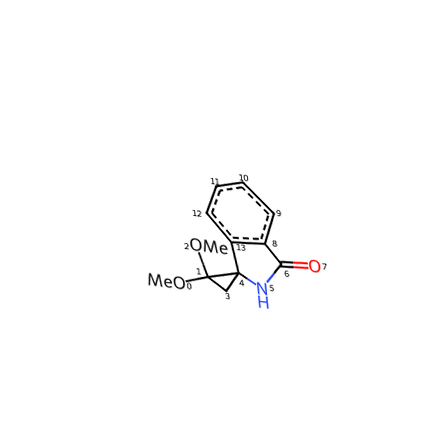 COC1(OC)CC12NC(=O)c1ccccc12